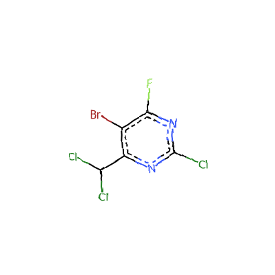 Fc1nc(Cl)nc(C(Cl)Cl)c1Br